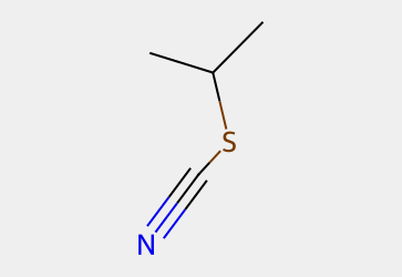 CC(C)SC#N